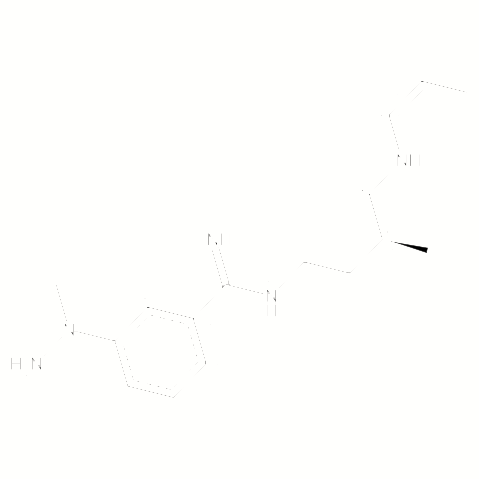 C/C=C\NC[C@@H](C)CCNC(=N)c1cccc(N(C)N)c1